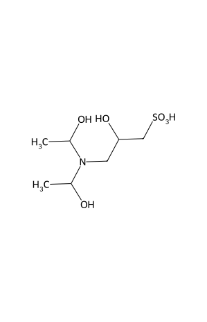 CC(O)N(CC(O)CS(=O)(=O)O)C(C)O